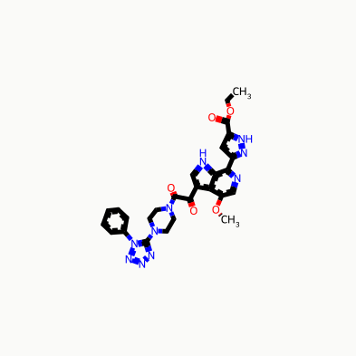 CCOC(=O)c1cc(-c2ncc(OC)c3c(C(=O)C(=O)N4CCN(c5nnnn5-c5ccccc5)CC4)c[nH]c23)n[nH]1